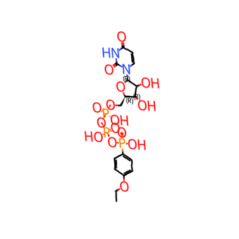 CCOc1ccc(P(=O)(O)OP(=O)(O)OP(=O)(O)OC[C@H]2O[C@@H](n3ccc(=O)[nH]c3=O)C(O)[C@H]2O)cc1